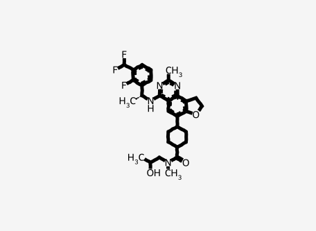 Cc1nc(N[C@H](C)c2cccc(C(F)F)c2F)c2cc(C3CCC(C(=O)N(C)CC(C)O)CC3)c3c(c2n1)CCO3